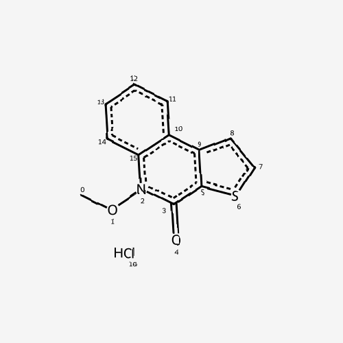 COn1c(=O)c2sccc2c2ccccc21.Cl